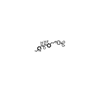 CCc1ccc(NC(=O)Nc2cccc(CCCN3CCN(C(=O)OC)CC3)c2F)cn1